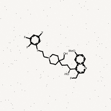 COc1ccc2ncc(CF)c([C@@H](O)CCC3(CO)CCN(CCSc4cc(F)cc(F)c4F)CC3)c2c1